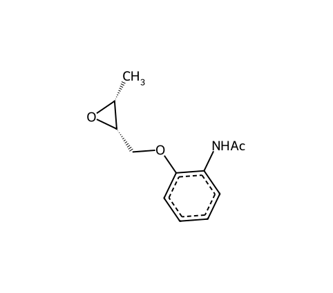 CC(=O)Nc1ccccc1OC[C@@H]1O[C@@H]1C